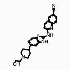 N#Cc1ccc2nc(Nc3nc4ccc(C5CCN(CCO)CC5)cc4[nH]3)ccc2c1